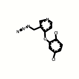 [N-]=[N+]=NCc1cnccc1Oc1cc(Cl)ccc1Cl